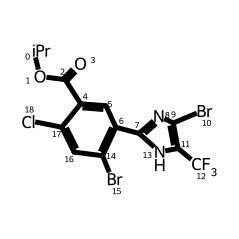 CC(C)OC(=O)c1cc(-c2nc(Br)c(C(F)(F)F)[nH]2)c(Br)cc1Cl